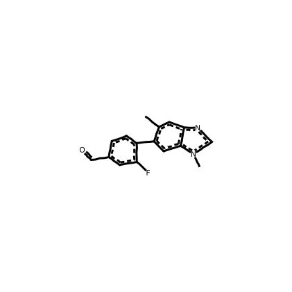 Cc1cc2ncn(C)c2cc1-c1ccc(C=O)cc1F